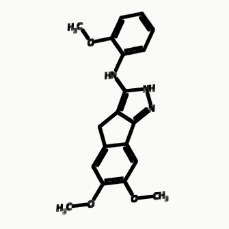 COc1ccccc1Nc1[nH]nc2c1Cc1cc(OC)c(OC)cc1-2